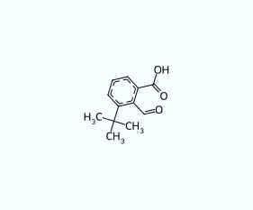 CC(C)(C)c1cccc(C(=O)O)c1C=O